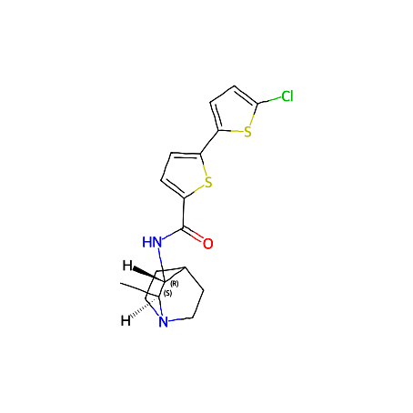 C[C@H]1[C@H](NC(=O)c2ccc(-c3ccc(Cl)s3)s2)C2CCN1CC2